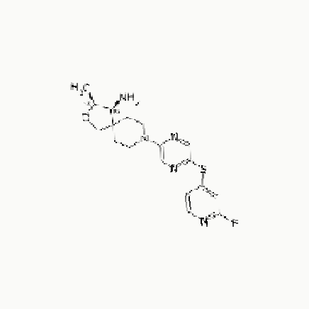 C[C@@H]1OCC2(CCN(c3cnc(Sc4ccnc(F)c4)cn3)CC2)[C@@H]1N